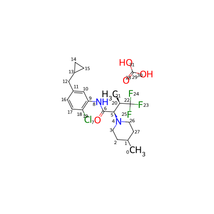 CC1CCN([C@@H](C(=O)Nc2cc(CC3CC3)ccc2Cl)[C@@H](C)C(F)(F)F)CC1.O=C(O)O